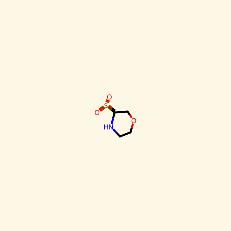 O=S(=O)=C1COCCN1